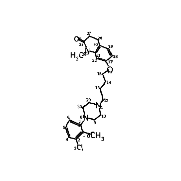 Cc1c(Cl)cccc1N1CCN(CCCCOc2ccc3c(c2)N(C)C(=O)CC3)CC1